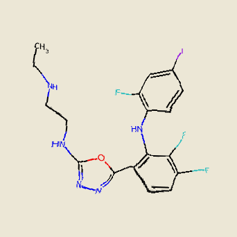 CCNCCNc1nnc(-c2ccc(F)c(F)c2Nc2ccc(I)cc2F)o1